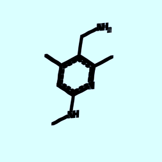 CNc1cc(C)c(CN)c(C)n1